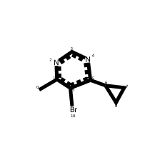 Cc1ncnc(C2CC2)c1Br